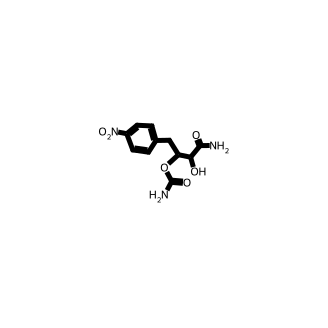 NC(=O)OC(Cc1ccc([N+](=O)[O-])cc1)C(O)C(N)=O